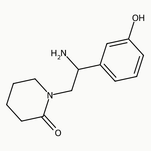 NC(CN1CCCCC1=O)c1cccc(O)c1